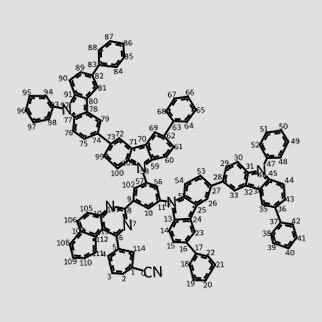 N#Cc1cccc(-c2nc(-c3cc(-n4c5ccc(-c6ccccc6)cc5c5cc(-c6ccc7c(c6)c6cc(-c8ccccc8)ccc6n7-c6ccccc6)ccc54)cc(-n4c5ccc(-c6ccccc6)cc5c5cc(-c6ccc7c(c6)c6cc(-c8ccccc8)ccc6n7-c6ccccc6)ccc54)c3)nc3ccc4ccccc4c23)c1